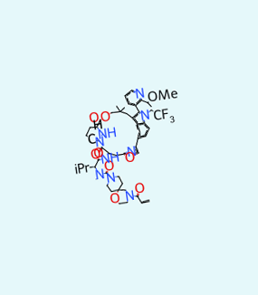 C=CC(=O)N1CCOC2(CCN(C(=O)N(C)[C@H](C(=O)N[C@H]3Cc4nc(co4)-c4ccc5c(c4)c(c(-c4cccnc4[C@H](C)OC)n5CC(F)(F)F)CC(C)(C)COC(=O)[C@@H]4CCCN(N4)C3=O)C(C)C)CC2)C1